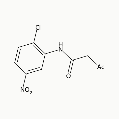 CC(=O)CC(=O)Nc1cc([N+](=O)[O-])ccc1Cl